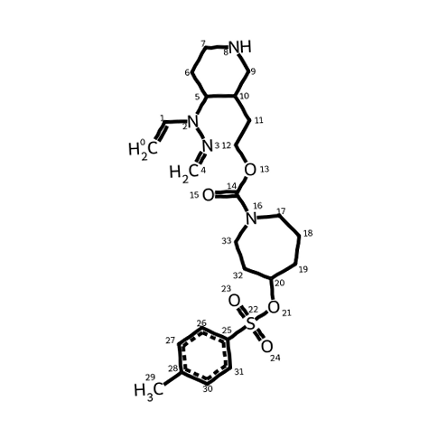 C=CN(N=C)C1CCNCC1CCOC(=O)N1CCCC(OS(=O)(=O)c2ccc(C)cc2)CC1